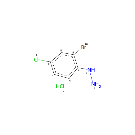 Cl.NNc1ccc(Cl)cc1Br